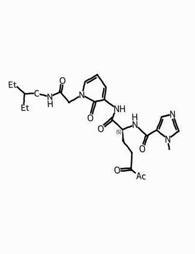 CCC(CC)CNC(=O)Cn1cccc(NC(=O)[C@H](CCC(=O)C(C)=O)NC(=O)c2cncn2C)c1=O